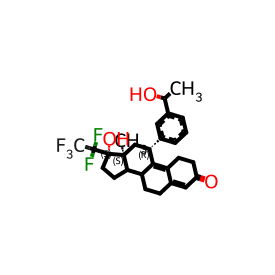 CC(O)c1cccc([C@H]2C[C@@]3(C)C(CC[C@@]3(O)C(F)(F)C(F)(F)F)C3CCC4=CC(=O)CCC4=C32)c1